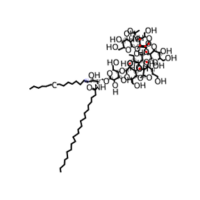 CCCCCCCCCCCCC/C=C/[C@@H](O)[C@H](CO[C@@H]1OC(CO)[C@@H](O[C@@H]2OC(CO)[C@H](O[C@@H]3OC(CO)[C@H](O)[C@H](O[C@@H]4OC(CO)[C@H](O)[C@H](O[C@@H]5OC(CO)[C@H](O)[C@H](O[C@H]6OC(CO)[C@H](O)[C@H](O)C6NC(C)=O)C5O[C@H]5OC(C)[C@@H](O)C(O)[C@@H]5O)C4NC(C)=O)C3O)[C@H](O)C2O)[C@H](O)C1O)NC(=O)CCCCCCCCCCCCCCCCCCCCC